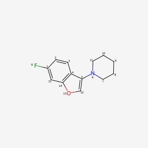 Fc1ccc2c(N3CCCCC3)coc2c1